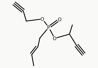 C#CCOP(=O)(CC=CC)OC(C)C#C